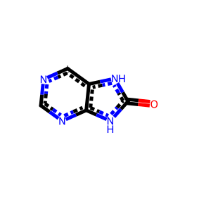 O=c1[nH]c2[c]ncnc2[nH]1